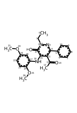 CCn1nc(-c2ccccc2)c(C(C)=O)c(Nc2cc(OC)ccc2OC)c1=O